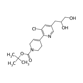 CC(C)(C)OC(=O)N1CC=C(c2ncc(CC(O)CO)cc2Cl)CC1